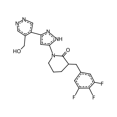 O=C1C(Cc2cc(F)c(F)c(F)c2)CCCN1c1cc(-c2cnncc2CO)n[nH]1